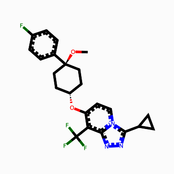 CO[C@]1(c2ccc(F)cc2)CC[C@@H](Oc2ccn3c(C4CC4)nnc3c2C(F)(F)F)CC1